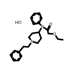 CCOCC(=O)N(c1ccccc1)C1CCN(CCc2ccccc2)CC1.Cl